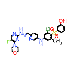 Cc1cc(Nc2ccc(/C=N/Nc3ncc(F)c(N4CCOCC4)n3)nc2)cc(Cl)c1S(=O)(=O)c1cccc(O)c1